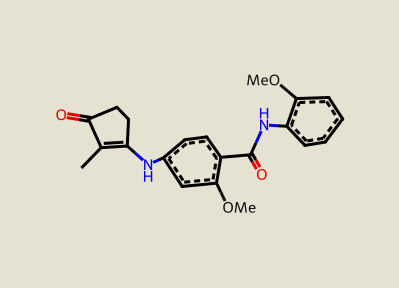 COc1ccccc1NC(=O)c1ccc(NC2=C(C)C(=O)CC2)cc1OC